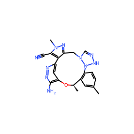 Cc1ccc2c(c1)[C@@H](C)Oc1cc(nnc1N)-c1c(nn(C)c1C#N)CN1C=NNN21